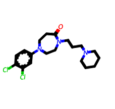 O=C1CCN(c2ccc(Cl)c(Cl)c2)CCN1CCCN1CCCCC1